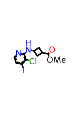 COC(=O)C1CC(Nc2nccc(I)c2Cl)C1